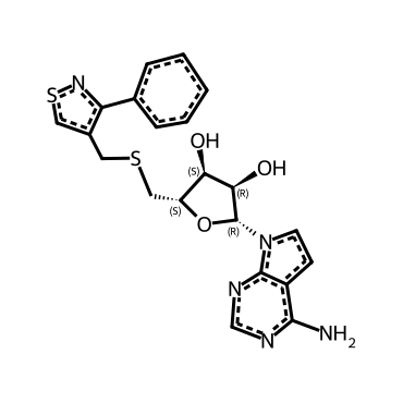 Nc1ncnc2c1ccn2[C@@H]1O[C@H](CSCc2csnc2-c2ccccc2)[C@@H](O)[C@H]1O